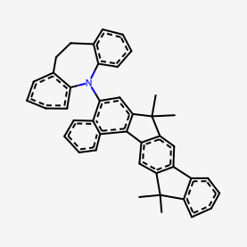 CC1(C)c2ccccc2-c2cc3c(cc21)-c1c(cc(N2c4ccccc4CCc4ccccc42)c2ccccc12)C3(C)C